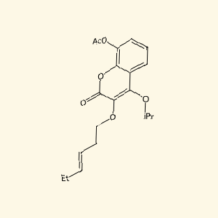 CCC=CCCOc1c(OC(C)C)c2cccc(OC(C)=O)c2oc1=O